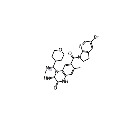 C/N=C(/C1CCOCC1)n1c(=N)c(=O)[nH]c2cc(C)c(C(=O)N3CCc4cc(Br)cnc43)cc21